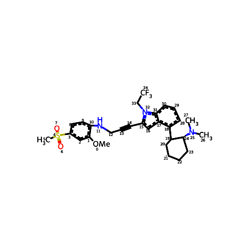 COc1cc(S(C)(=O)=O)ccc1NCC#Cc1cc2c(C3C[CH]CC[C@@H]3N(C)C)cccc2n1CC(F)(F)F